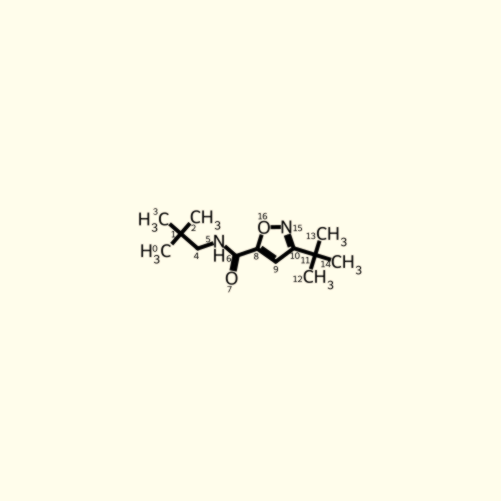 CC(C)(C)CNC(=O)c1cc(C(C)(C)C)no1